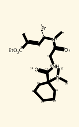 CCOC(=O)/C(C)=C/[C@H](C(C)C)N(C)C(=O)CNC(=O)C1(N(C)C)CCCCC1